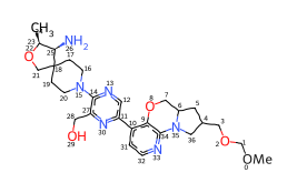 COCOCC1CC2COc3c(-c4cnc(N5CCC6(CC5)CO[C@@H](C)[C@H]6N)c(CO)n4)ccnc3N2C1